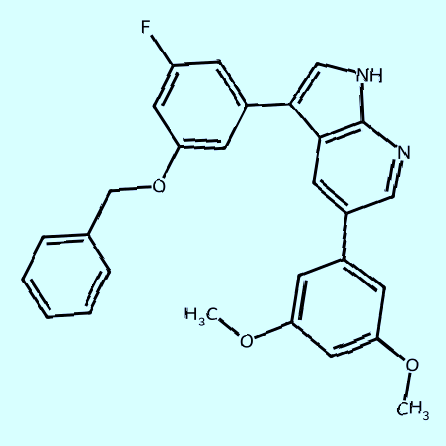 COc1cc(OC)cc(-c2cnc3[nH]cc(-c4cc(F)cc(OCc5ccccc5)c4)c3c2)c1